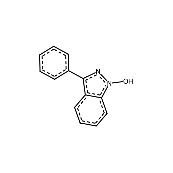 On1nc(-c2ccccc2)c2ccccc21